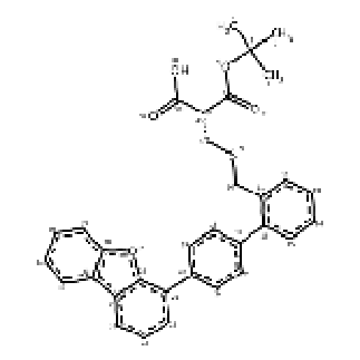 CC(C)(C)OC(=O)[C@H](CSCc1ccccc1-c1ccc(-c2cccc3c2oc2ccccc23)cc1)C(=O)O